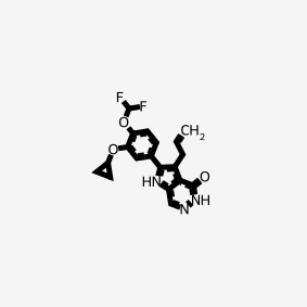 C=CCc1c(-c2ccc(OC(F)F)c(OC3CC3)c2)[nH]c2cn[nH]c(=O)c12